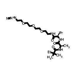 CCC(C)(C)C(=O)N[C@H](C)C(=O)N[C@@H](C(=O)NCCOCCOCCOCCN=[N+]=[N-])C(C)C